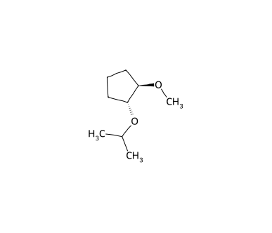 CO[C@@H]1CCC[C@H]1OC(C)C